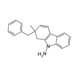 CC1(Cc2ccccc2)C=Cc2c(n(N)c3ccccc23)C1